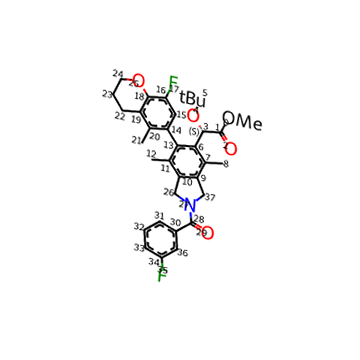 COC(=O)[C@@H](OC(C)(C)C)c1c(C)c2c(c(C)c1-c1cc(F)c3c(c1C)CCCO3)CN(C(=O)c1cccc(F)c1)C2